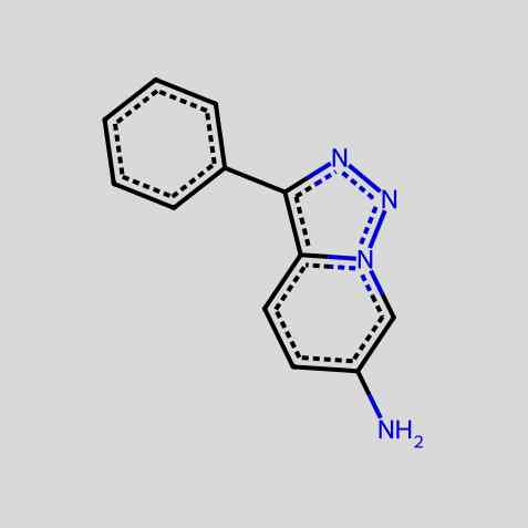 Nc1ccc2c(-c3ccccc3)nnn2c1